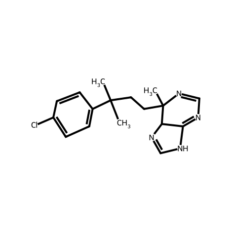 CC(C)(CCC1(C)N=CN=C2NC=NC21)c1ccc(Cl)cc1